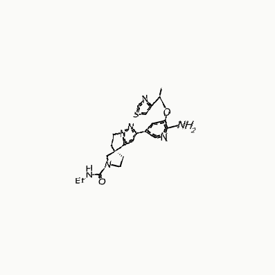 CCNC(=O)N1CC[C@@]2(CCn3nc(-c4cnc(N)c(OC(C)c5cscn5)c4)cc32)C1